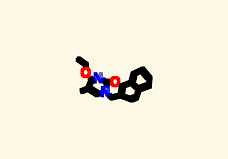 CCOc1nc(=O)n(Cc2ccc3ccccc3c2)cc1C